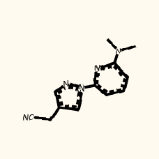 CN(C)c1cccc(-n2cc(CC#N)cn2)n1